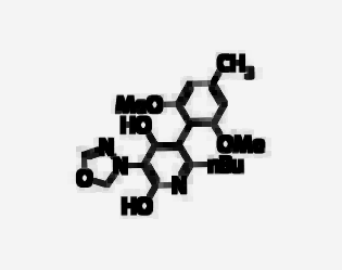 CCCCc1nc(O)c(N2COC=N2)c(O)c1-c1c(OC)cc(C)cc1OC